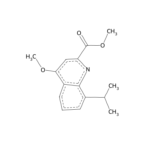 COC(=O)c1cc(OC)c2cccc(C(C)C)c2n1